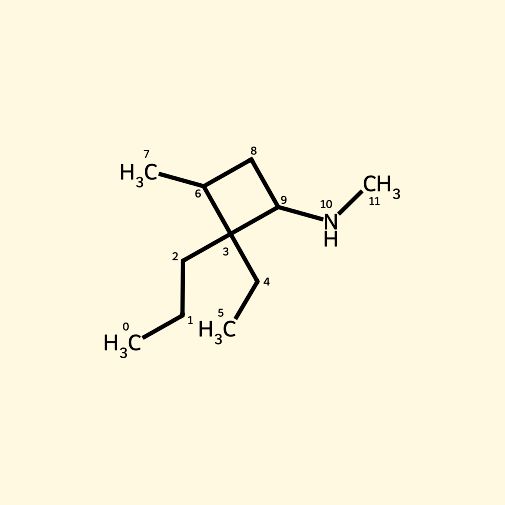 CCCC1(CC)C(C)CC1NC